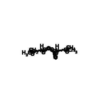 C=C(C)C(=O)OCCCCCNC(=O)OCc1cccc(OCC(COc2ccccc2)OC(=O)NCCCCCOC(=O)C(=C)C)c1